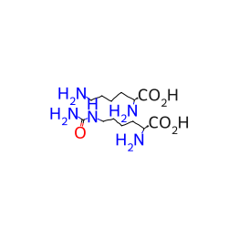 NC(=O)NCCCC[C@H](N)C(=O)O.NCCCC[C@H](N)C(=O)O